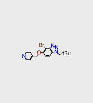 CC(C)(C)Cn1nnc2c(Br)c(OCc3ccncc3)ccc21